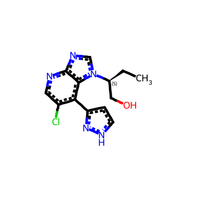 CC[C@@H](CO)n1cnc2ncc(Cl)c(-c3cc[nH]n3)c21